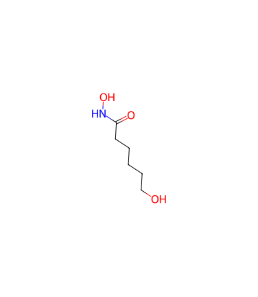 O=C(CCCCCO)NO